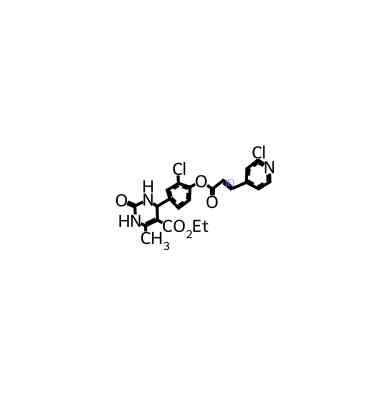 CCOC(=O)C1=C(C)NC(=O)NC1c1ccc(OC(=O)/C=C/c2ccnc(Cl)c2)c(Cl)c1